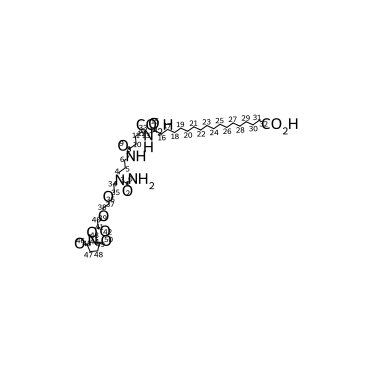 NC(=O)N(CCCNC(=O)CC[C@H](NC(=O)CCCCCCCCCCCCCCCCC(=O)O)C(=O)O)CCOCCOCC(=O)ON1C(=O)CCC1=O